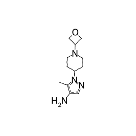 Cc1c(N)cnn1C1CCN(C2COC2)CC1